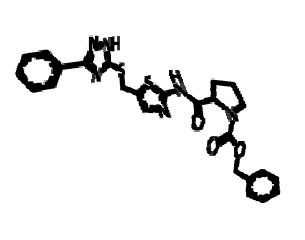 O=C(Nc1ncc(CSc2nc(-c3ccccc3)n[nH]2)s1)C1CCCN1C(=O)OCc1ccccc1